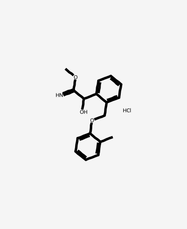 COC(=N)C(O)c1ccccc1COc1ccccc1C.Cl